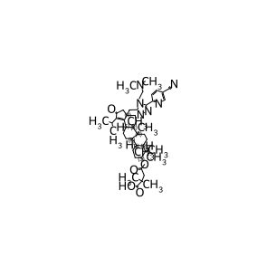 CC(C)C1=C2[C@H]3CC[C@@H]4[C@@]5(C)CC[C@H](OC(=O)CC(C)(C)C(=O)O)C(C)(C)[C@@H]5CC[C@@]4(C)[C@]3(C)CC[C@@]2(Cc2nnc(-c3ccc(C#N)cn3)n2CCN(C)C)CC1=O